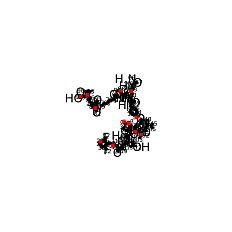 CC[C@H](C)C([C@@H](CC(=O)N1C[C@@H](O)C[C@H]1[C@H](OC)[C@@H](C)C(=O)NCCc1c(F)cccc1F)OC)N(C)C(=O)[C@@H](NC(=O)[C@H](C(C)C)N(C)C(=O)OCc1ccc(NC(=O)[C@H](CCCNC(N)=O)NC(=O)[C@@H](NC(=O)CCCCCN2C(=O)CC(SCC3(CC(=O)O)CC3)C2=O)C(C)C)cc1)C(C)C